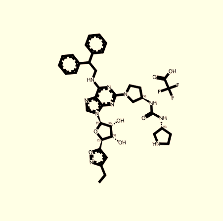 CCc1cc([C@H]2O[C@@H](n3cnc4c(NCC(c5ccccc5)c5ccccc5)nc(N5CC[C@@H](NC(=O)N[C@@H]6CCNC6)C5)nc43)[C@H](O)[C@@H]2O)on1.O=C(O)C(F)(F)F